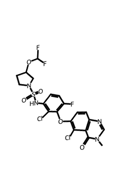 Cn1cnc2ccc(Oc3c(F)ccc(NS(=O)(=O)N4CCC(OC(F)F)C4)c3Cl)c(Cl)c2c1=O